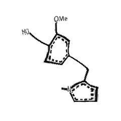 COc1cc(Cc2cccn2C)ccc1O